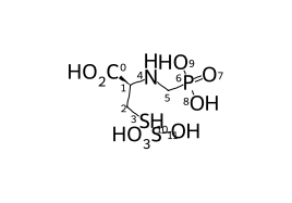 O=C(O)[C@H](CS)NCP(=O)(O)O.O=S(=O)(O)O